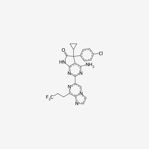 Nc1nc(-c2cn3ccnc3c(CCC(F)(F)F)n2)nc2c1C(c1ccc(Cl)cc1)(C1CC1)C(=O)N2